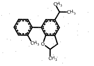 [CH2]C1Cc2cc(C(C)C)cc(-c3ccccc3C)c2O1